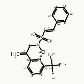 C=C(CN(C)S(=O)(=O)/C=C/c1ccccc1)c1cccc(C(F)(F)F)n1